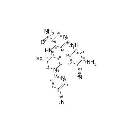 N#Cc1ccc(N2CC[C@@H](Nc3cc(Nc4ccc(C#N)c(N)c4)ncc3C(N)=O)[C@@H](F)C2)nc1